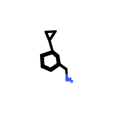 NCc1cccc(C2CC2)c1